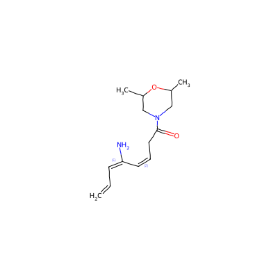 C=C/C=C(N)\C=C/CC(=O)N1CC(C)OC(C)C1